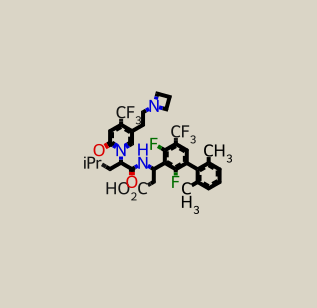 Cc1cccc(C)c1-c1cc(C(F)(F)F)c(F)c(C(CC(=O)O)NC(=O)C(CC(C)C)n2cc(CCN3CCC3)c(C(F)(F)F)cc2=O)c1F